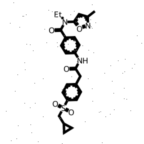 CCN(C(=O)c1ccc(NC(=O)Cc2ccc(S(=O)(=O)CC3CC3)cc2)cc1)c1cc(C)no1